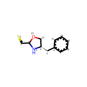 S=CC1N[C@@H](Cc2ccccc2)CO1